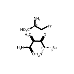 C=C(C(N)=O)C(=O)[C@@H](N)[C@@H](C)CC.CC(C)C[C@H](N)C(=O)O